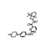 CN1CCN(c2ccc(Nc3nccc(C(=O)NC4CC56C(CCC45C)C6(C)C)n3)cc2)CC1